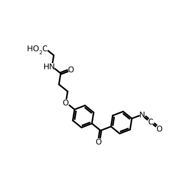 O=C=Nc1ccc(C(=O)c2ccc(OCCC(=O)NCC(=O)O)cc2)cc1